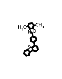 Cc1ccc(C)c2oc(-c3ccc(-c4cccc5c4sc4ccccc45)cc3)nc12